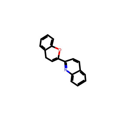 C1=C(c2ccc3ccccc3n2)Oc2ccccc2C1